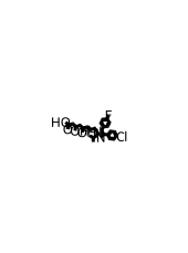 CC(C)c1nc(-c2ccc(Cl)cc2)c(-c2ccc(F)cc2)n1CC=CC(O)CC(O)CC(=O)O